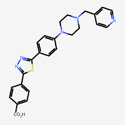 O=C(O)c1ccc(-c2nnc(-c3ccc(N4CCN(Cc5ccncc5)CC4)cc3)s2)cc1